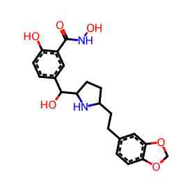 O=C(NO)c1cc(C(O)C2CCC(CCc3ccc4c(c3)OCO4)N2)ccc1O